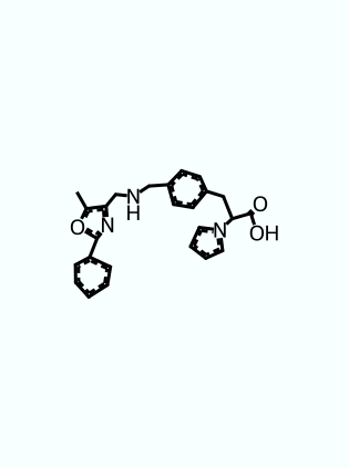 Cc1oc(-c2ccccc2)nc1CNCc1ccc(CC(C(=O)O)n2cccc2)cc1